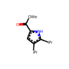 COC(=O)c1cc(C(C)C)c(C(C)C)[nH]1